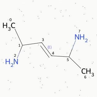 CC(N)/C=C/C(C)N